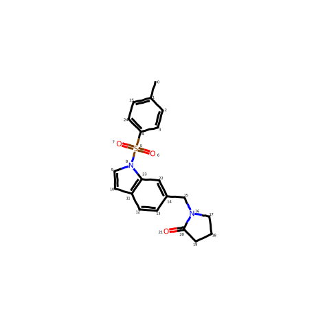 Cc1ccc(S(=O)(=O)n2ccc3ccc(CN4CCCC4=O)cc32)cc1